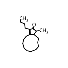 CCCCC1=C2CCCCCCCCCCC2C(C)C1=O